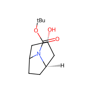 CC(C)(C)OC(=O)N1C2CC[C@@H]1C[C@@H](O)C2